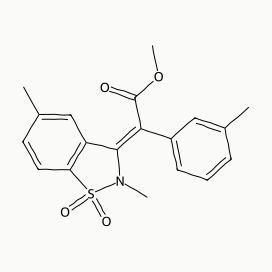 COC(=O)/C(=C1\c2cc(C)ccc2S(=O)(=O)N1C)c1cccc(C)c1